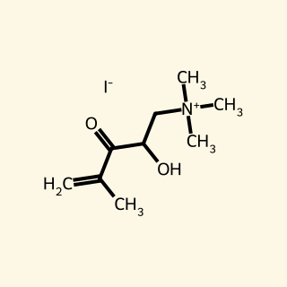 C=C(C)C(=O)C(O)C[N+](C)(C)C.[I-]